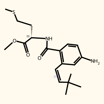 COC(=O)[C@H](CCSC)NC(=O)c1ccc(N)cc1/C=C\C(C)(C)C